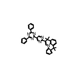 CC1(C)C(c2ncc(-c3nc(-c4ccccc4)nc(-c4ccccc4)n3)cn2)=CN2c3ccccc3C(C)(C)c3cccc1c32